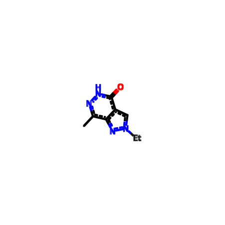 CCn1cc2c(=O)[nH]nc(C)c2n1